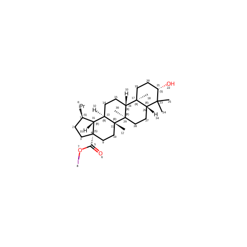 CC(C)[C@@H]1CC[C@]2(C(=O)OI)CC[C@]3(C)[C@H](CC[C@@H]4[C@@]5(C)CC[C@H](O)C(C)(C)[C@@H]5CC[C@]43C)[C@@H]12